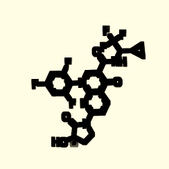 O=C(NC(C1CC1)C(F)(F)F)c1cn(-c2c(F)cc(F)cc2F)c2nc(N3CC[C@@H](O)C3=O)ccc2c1=O